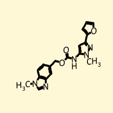 Cn1nc(-c2ccco2)cc1NC(=O)OCc1ccc2c(c1)ncn2C